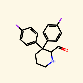 O=CC1NCCCC1(c1ccc(I)cc1)c1ccc(I)cc1